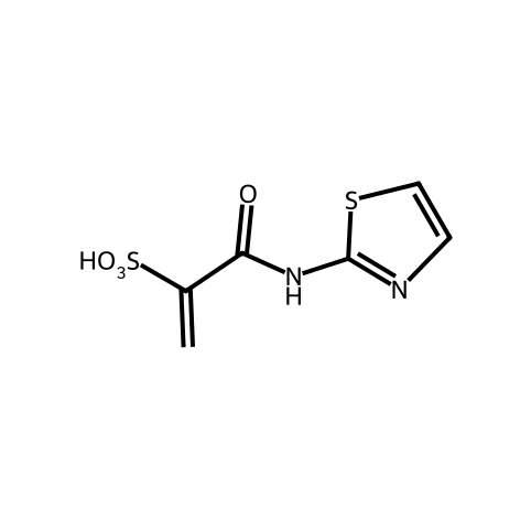 C=C(C(=O)Nc1nccs1)S(=O)(=O)O